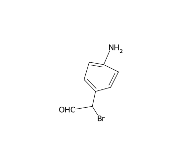 Nc1ccc(C(Br)C=O)cc1